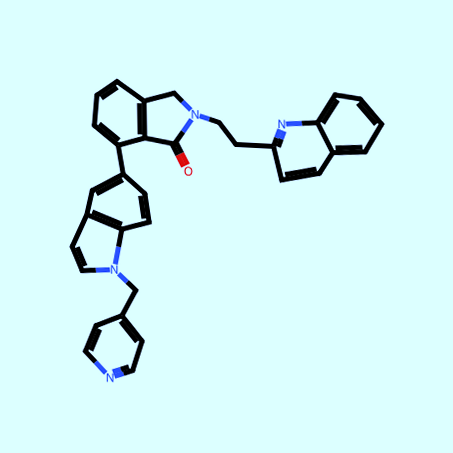 O=C1c2c(cccc2-c2ccc3c(ccn3Cc3ccncc3)c2)CN1CCc1ccc2ccccc2n1